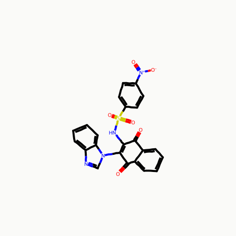 O=C1C(NS(=O)(=O)c2ccc([N+](=O)[O-])cc2)=C(n2cnc3ccccc32)C(=O)c2ccccc21